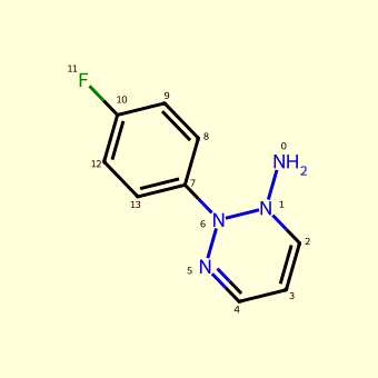 NN1C=CC=NN1c1ccc(F)cc1